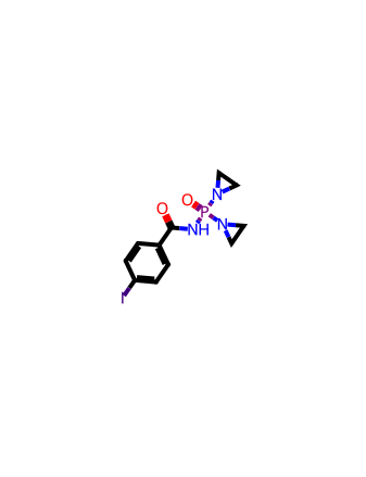 O=C(NP(=O)(N1CC1)N1CC1)c1ccc(I)cc1